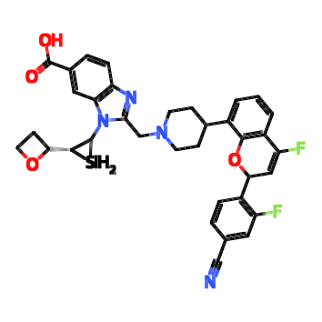 N#Cc1ccc(C2C=C(F)c3cccc(C4CCN(Cc5nc6ccc(C(=O)O)cc6n5C5[SiH2][C@@H]5C5CCO5)CC4)c3O2)c(F)c1